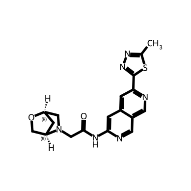 Cc1nnc(-c2cc3cc(NC(=O)CN4C[C@H]5C[C@@H]4CO5)ncc3cn2)s1